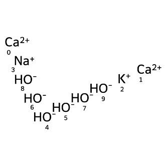 [Ca+2].[Ca+2].[K+].[Na+].[OH-].[OH-].[OH-].[OH-].[OH-].[OH-]